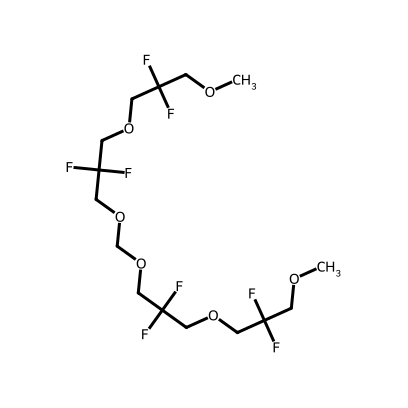 COCC(F)(F)COCC(F)(F)COCOCC(F)(F)COCC(F)(F)COC